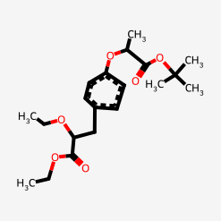 CCOC(=O)C(Cc1ccc(OC(C)C(=O)OC(C)(C)C)cc1)OCC